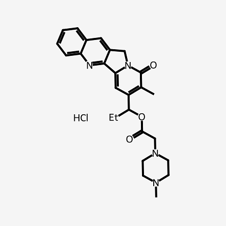 CCC(OC(=O)CN1CCN(C)CC1)c1cc2n(c(=O)c1C)Cc1cc3ccccc3nc1-2.Cl